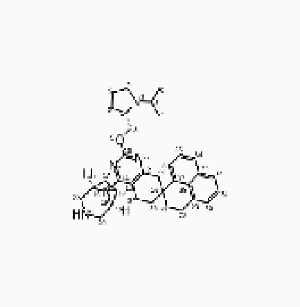 CC(C)N1CCC[C@H]1COc1nc2c(c(N3[C@@H]4CC[C@H]3CNC4)n1)CCC1(CCc3cccc4cccc1c34)C2